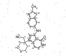 Cc1nc2ccc(Nc3nn(C4(CC#N)CCCOC4)c4cc[nH]c(=O)c34)cc2s1